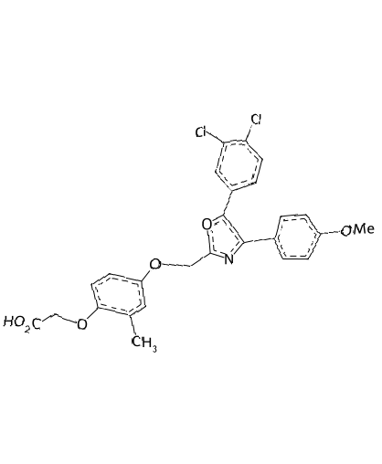 COc1ccc(-c2nc(COc3ccc(OCC(=O)O)c(C)c3)oc2-c2ccc(Cl)c(Cl)c2)cc1